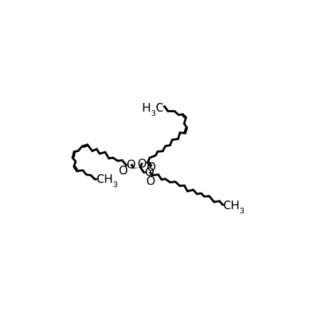 CCCCC/C=C\C/C=C\C/C=C\CCCCCCCCC(=O)OC[C@@H](COC(=O)CCCCCCCCCCCCCCCCC)OC(=O)CCCCCCCCC/C=C\C/C=C\CCCCC